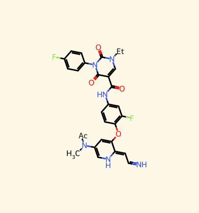 CCn1cc(C(=O)Nc2ccc(OC3=CC(N(C)C(C)=O)=CN/C3=C\C=N)c(F)c2)c(=O)n(-c2ccc(F)cc2)c1=O